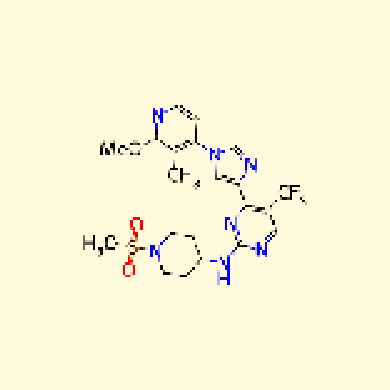 COc1nccc(-n2cnc(-c3nc(NC4CCN(S(C)(=O)=O)CC4)ncc3C(F)(F)F)c2)c1C